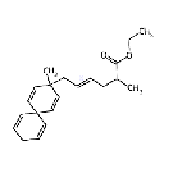 CCOC(=O)C(C)C/C=C/CC1(C)C=CC2(C=CCC=C2)C=C1